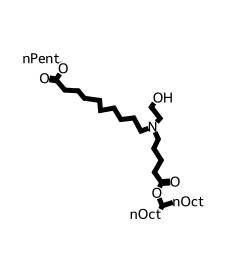 CCCCCCCCC(CCCCCCCC)OC(=O)CCCCN(CCO)CCCCCCCCCC(=O)OCCCCC